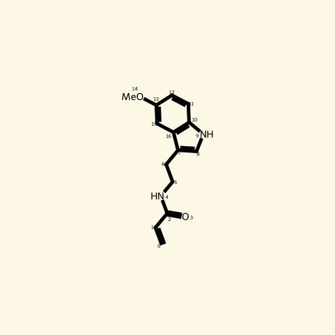 C=CC(=O)NCCc1c[nH]c2ccc(OC)cc12